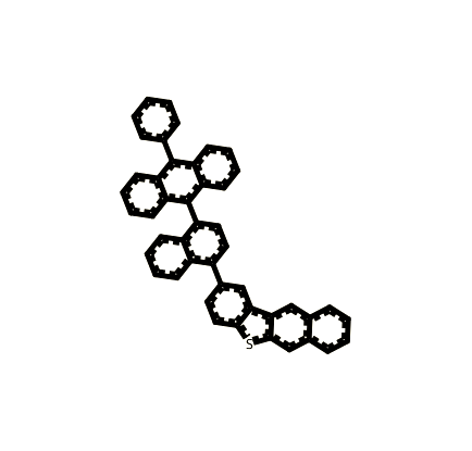 c1ccc(-c2c3ccccc3c(-c3ccc(-c4ccc5sc6cc7ccccc7cc6c5c4)c4ccccc34)c3ccccc23)cc1